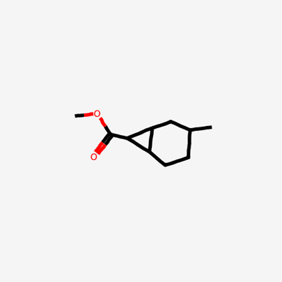 COC(=O)C1C2CCC(C)CC21